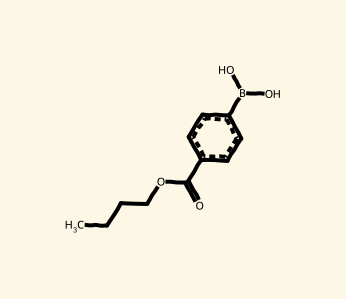 CCCCOC(=O)c1ccc(B(O)O)cc1